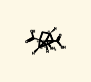 N[C@]1(C(=O)O)[C@@H]2C[C@@H]3[C@@H]1[C@@]3(C(=O)O)C2